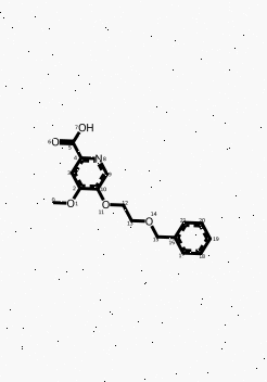 COc1cc(C(=O)O)ncc1OCCOCc1ccccc1